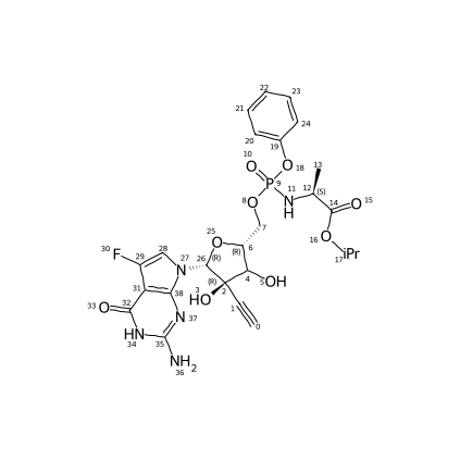 C#C[C@@]1(O)C(O)[C@@H](COP(=O)(N[C@@H](C)C(=O)OC(C)C)Oc2ccccc2)O[C@H]1n1cc(F)c2c(=O)[nH]c(N)nc21